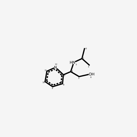 CC(C)NC(CO)c1ccccn1